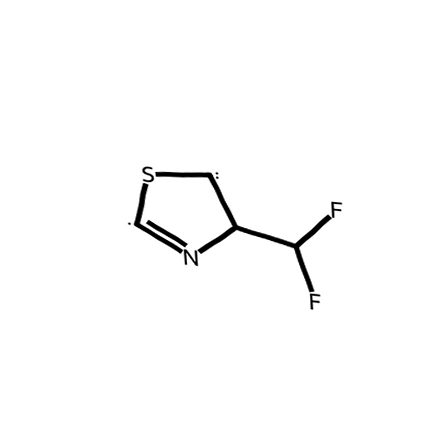 FC(F)C1[C]S[C]=N1